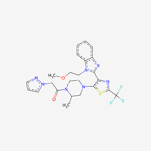 COCCn1c(-c2nc(C(F)(F)F)sc2N2CCN(C(=O)Cn3cccn3)C(C)C2)nc2ccccc21